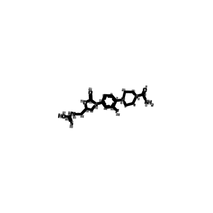 NC(=O)N1CCN(c2ccc(N3CC(CNC(O)=S)OC3=O)cc2F)CC1